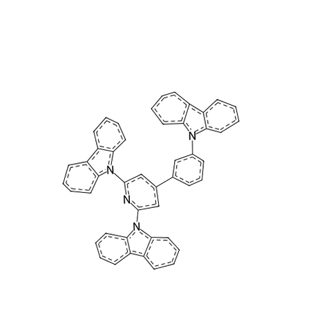 c1cc(-c2cc(-n3c4ccccc4c4ccccc43)nc(-n3c4ccccc4c4ccccc43)c2)cc(-n2c3ccccc3c3ccccc32)c1